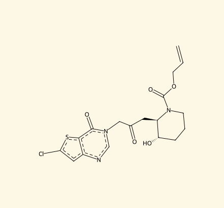 C=CCOC(=O)N1CCC[C@H](O)[C@H]1CC(=O)Cn1cnc2cc(Cl)sc2c1=O